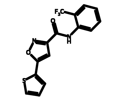 O=C(Nc1ccccc1C(F)(F)F)c1cc(-c2cccs2)on1